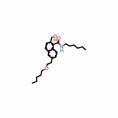 CCCCCCNC(=O)c1c(CO)ccc2cc(CCOCCCCC)ccc12